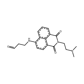 CN(C)CCN1C(=O)c2cccc3c(NCCC=O)ccc(c23)C1=O